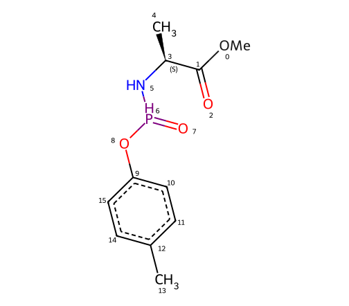 COC(=O)[C@H](C)N[PH](=O)Oc1ccc(C)cc1